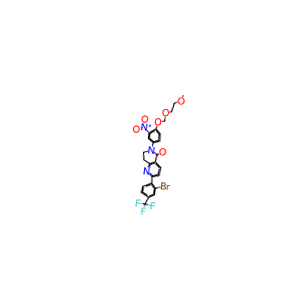 COCCOCOc1ccc(N2CCc3nc(-c4ccc(C(F)(F)F)cc4Br)ccc3C2=O)cc1[N+](=O)[O-]